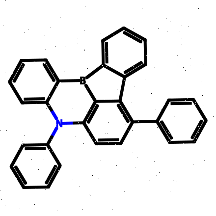 c1ccc(-c2ccc3c4c2-c2ccccc2B4c2ccccc2N3c2ccccc2)cc1